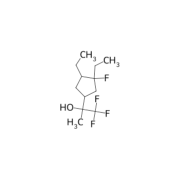 CCC1CC(C(C)(O)C(F)(F)F)CC1(F)CC